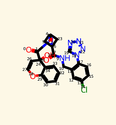 O=C(N1CC2CC1(C(=O)NCc1cc(Cl)ccc1-n1cnnn1)C2)C1(O)C=COc2ccccc21